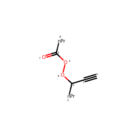 C#CC(CCC)OOC(=O)CCC